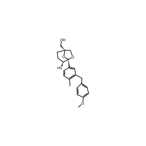 COc1ccc(Cc2cc([C@@]34OC[C@@](CO)(CC[C@@H]3S)O4)ccc2F)cc1